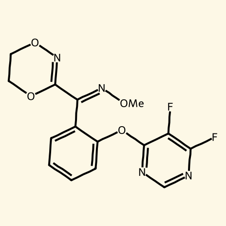 CON=C(C1=NOCCO1)c1ccccc1Oc1ncnc(F)c1F